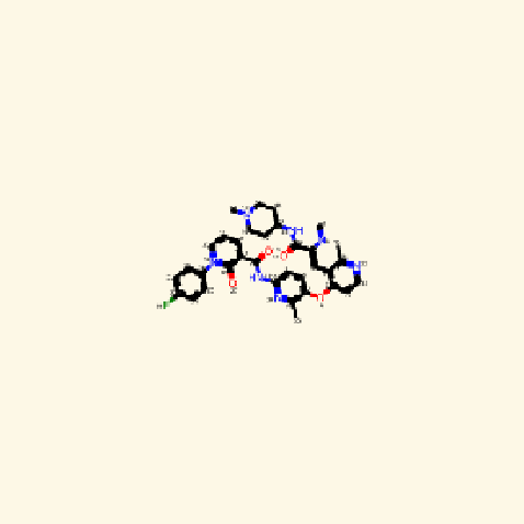 C=N/C(=C\c1c(Oc2ccc(NC(=O)c3cccn(-c4ccc(F)cc4)c3=O)nc2C)ccnc1C)C(=O)NC1CCN(C)CC1